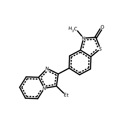 CCc1c(-c2ccc3sc(=O)n(C)c3c2)nc2ccccn12